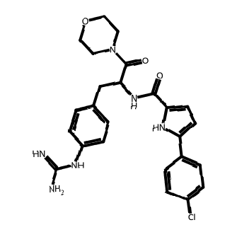 N=C(N)Nc1ccc(CC(NC(=O)c2ccc(-c3ccc(Cl)cc3)[nH]2)C(=O)N2CCOCC2)cc1